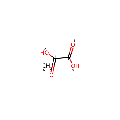 O=C(O)C(=O)O.[CH3]